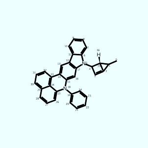 CC1C2=CC(n3c4ccccc4c4cc5c(cc43)N(c3ccccc3)c3cccc4cccc-5c34)[C@@H]21